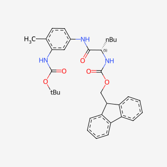 CCCC[C@H](NC(=O)OCC1c2ccccc2-c2ccccc21)C(=O)Nc1ccc(C)c(NC(=O)OC(C)(C)C)c1